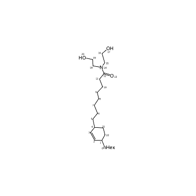 CCCCCCC1C=CC(CCCCCCCC(=O)N(CCO)CCO)CC1